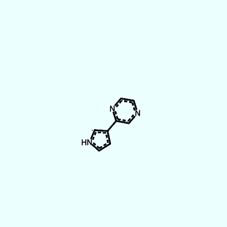 [c]1[nH]ccc1-c1cnccn1